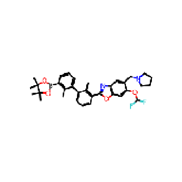 Cc1c(B2OC(C)(C)C(C)(C)O2)cccc1-c1cccc(-c2nc3cc(CN4CCCC4)c(OC(F)F)cc3o2)c1C